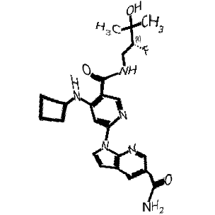 CC(C)(O)[C@H](F)CNC(=O)c1cnc(-n2ccc3cc(C(N)=O)cnc32)cc1NC1CCC1